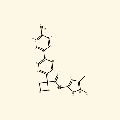 Cc1nc(NC(=O)C2(c3ccc(-c4cnc(N)nc4)cc3)CCC2)sc1C